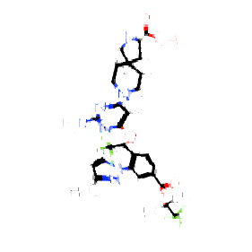 Cc1ccn(-c2cc(C(=O)OC(C)(C)C(F)(F)F)ccc2[C@@H](Oc2cc(N3CCC4(CC3)CN[C@H](C(=O)O)C4)nc(N)n2)C(F)(F)F)n1